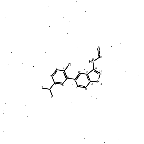 CC(C)c1ccc(Cl)c(-c2ccc3[nH]nc(NC=O)c3c2)c1